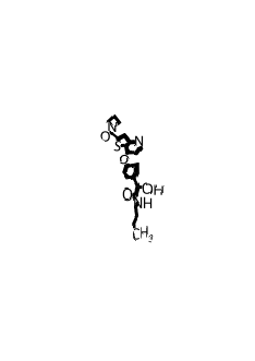 CCCCNC(=O)C(O)c1ccc(Oc2ccnc3cc(C(=O)N4CCC4)sc23)cc1